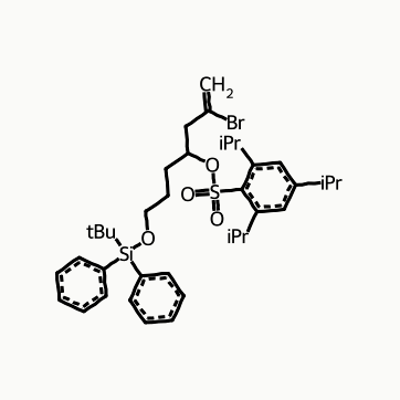 C=C(Br)CC(CCCO[Si](c1ccccc1)(c1ccccc1)C(C)(C)C)OS(=O)(=O)c1c(C(C)C)cc(C(C)C)cc1C(C)C